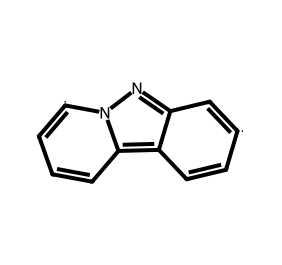 [c]1ccc2c(c1)nn1[c]cccc21